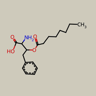 CCCCCCCC(=O)OC(Cc1ccccc1)C(N)C(=O)O